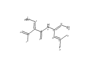 C=C(C)/C(=C\CCCC)C(=C)NC(/C=C(\C)F)=C/CC